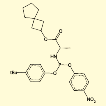 C[C@H](NP(Oc1ccc([N+](=O)[O-])cc1)Oc1ccc(C(C)(C)C)cc1)C(=O)OC1CC2(CCCC2)C1